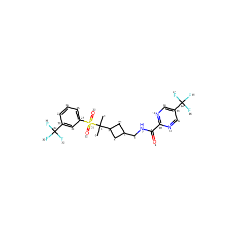 CC(C)(C1CC(CNC(=O)c2ncc(C(F)(F)F)cn2)C1)S(=O)(=O)c1cccc(C(F)(F)F)c1